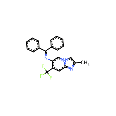 Cc1cn2cc(N=C(c3ccccc3)c3ccccc3)c(C(F)(F)F)cc2n1